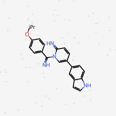 CC(C)Oc1ccc(C(=N)n2cc(-c3ccc4[nH]ccc4c3)ccc2=N)cc1